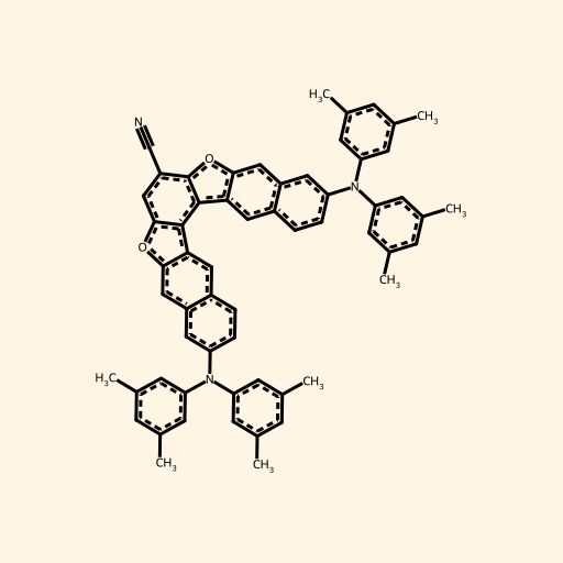 Cc1cc(C)cc(N(c2cc(C)cc(C)c2)c2ccc3cc4c(cc3c2)oc2cc(C#N)c3oc5cc6cc(N(c7cc(C)cc(C)c7)c7cc(C)cc(C)c7)ccc6cc5c3c24)c1